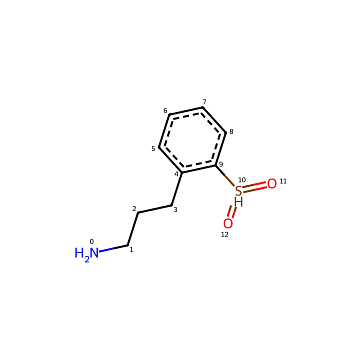 NCCCc1ccccc1[SH](=O)=O